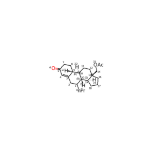 CCCC1CC2=CC(=O)CC[C@@H]2[C@H]2CC[C@]3(COC(C)=O)CCC[C@H]3[C@H]12